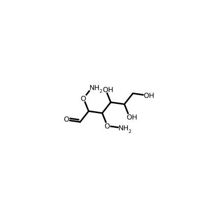 NOC(C=O)C(ON)C(O)C(O)CO